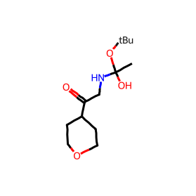 CC(C)(C)OC(C)(O)NCC(=O)C1CCOCC1